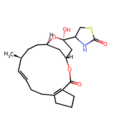 C[C@@H]1C=CCCC2=C(CCC2)C(=O)O[C@@H]2C[C@@H](CC1)O[C@@](O)(C1CSC(=O)N1)C2